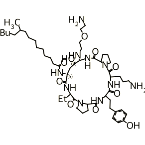 CCC(C)CC(C)CCCCCCCCC(=O)N[C@H]1C[C@@H](O)C(NCCOCCN)NC(=O)C2CCCN2C(=O)C(CCCN)NC(=O)C(CCc2ccc(O)cc2)NC(=O)C2CCCN2C(=O)C(CC)NC1=O